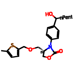 CCCCCC(O)c1ccc(N2C(=O)OC[C@@H]2COCc2ccc(C)s2)cc1